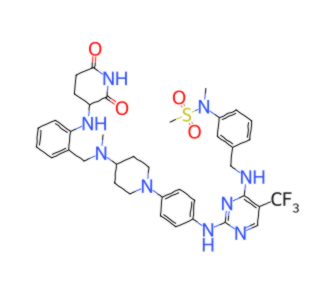 CN(Cc1ccccc1NC1CCC(=O)NC1=O)C1CCN(c2ccc(Nc3ncc(C(F)(F)F)c(NCc4cccc(N(C)S(C)(=O)=O)c4)n3)cc2)CC1